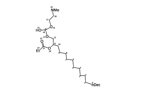 CCCCCCCCCCCCCCCCCCCCC(COP(O)OCCNC)OC(=O)CC